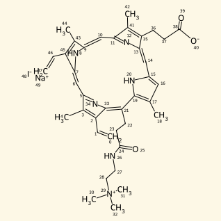 C=CC1=C(C)c2cc3[nH]c(cc4nc(cc5cc(C)c([nH]5)c(CCC(=O)NCC[N+](C)(C)C)c1n2)C(CCC(=O)[O-])=C4C)c(C)c3C=C.[I-].[Na+]